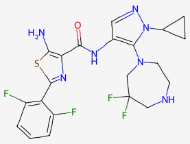 Nc1sc(-c2c(F)cccc2F)nc1C(=O)Nc1cnn(C2CC2)c1N1CCNCC(F)(F)C1